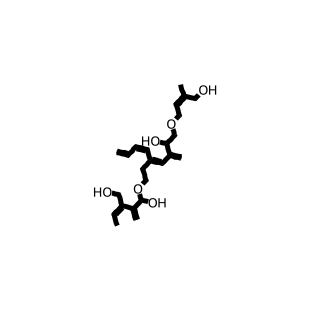 C=C/C=C\C(=C/C(=C)C(O)COC/C=C(/C)CO)CCOC(O)C(=C)/C(=C\C)CO